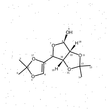 CC1(C)OC=C(C2O[C@@H](O)[C@@H]3OC(C)(C)O[C@H]23)O1